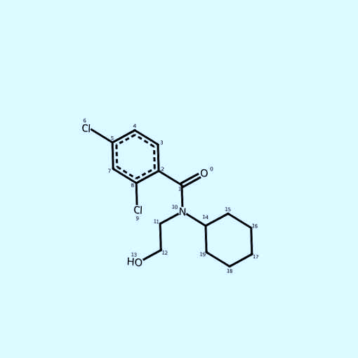 O=C(c1ccc(Cl)cc1Cl)N(CCO)C1CCCCC1